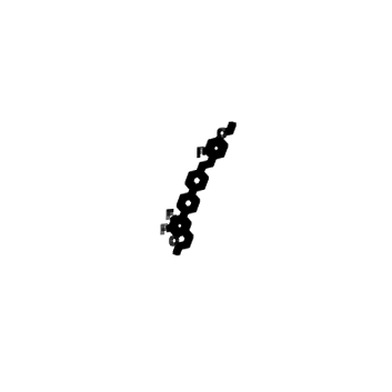 CCOc1ccc(CCC2CCC(C3CCC(c4cc5c(c(F)c4F)OC(C)CC5)CC3)CC2)c(F)c1